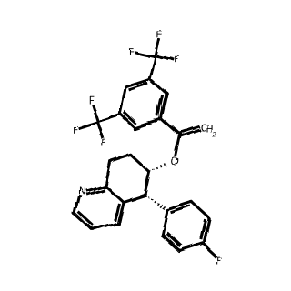 C=C(O[C@H]1CCc2ncccc2[C@H]1c1ccc(F)cc1)c1cc(C(F)(F)F)cc(C(F)(F)F)c1